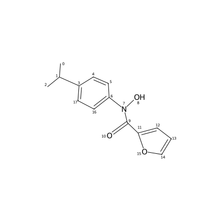 CC(C)c1ccc(N(O)C(=O)c2ccco2)cc1